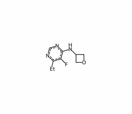 CCc1ncnc(NC2COC2)c1F